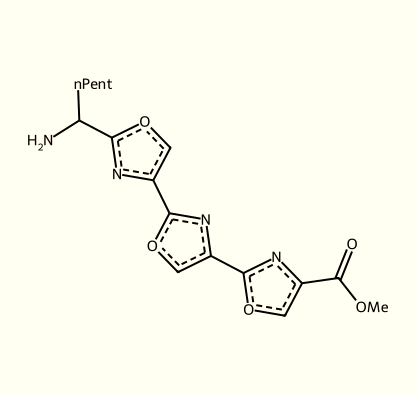 CCCCCC(N)c1nc(-c2nc(-c3nc(C(=O)OC)co3)co2)co1